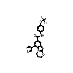 O=C(Nc1ccc(OC(F)(F)Cl)cc1)c1cc(-c2cnsc2)c2c(c1)nc1n2CCCO1